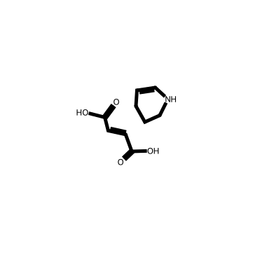 C1=CNCCC1.O=C(O)C=CC(=O)O